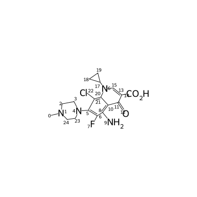 CN1CCN(c2c(F)c(N)c3c(=O)c(C(=O)O)cn(C4CC4)c3c2Cl)CC1